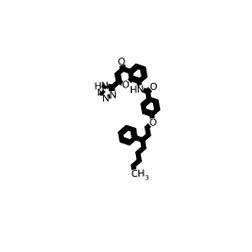 CCCCCC(CCOc1ccc(C(=O)Nc2cccc3c(=O)cc(-c4nnn[nH]4)oc23)cc1)c1ccccc1